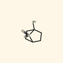 CC(C)C12CCC(CC1)S2(=O)=O